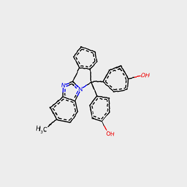 Cc1ccc2c(c1)nc1n2C(c2ccc(O)cc2)(c2ccc(O)cc2)c2ccccc2-1